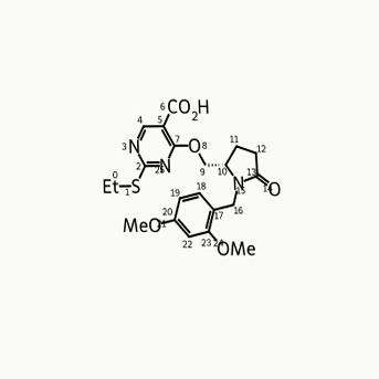 CCSc1ncc(C(=O)O)c(OC[C@@H]2CCC(=O)N2Cc2ccc(OC)cc2OC)n1